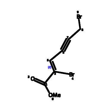 COC(=O)/C(Br)=C/C#CCBr